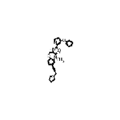 CN1C(=O)C(NC(=O)c2cc(Oc3ccccc3)ccn2)COc2ccc(C#CCN3CCCC3)cc21